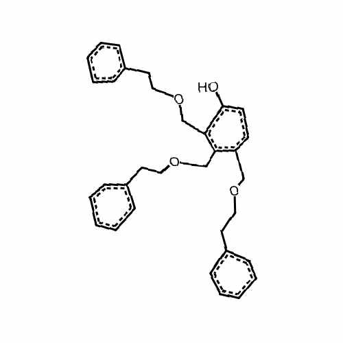 Oc1ccc(COCCc2ccccc2)c(COCCc2ccccc2)c1COCCc1ccccc1